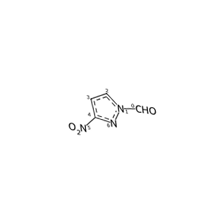 O=Cn1ccc([N+](=O)[O-])n1